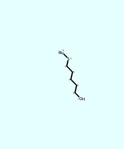 CCC(C)SCCCCCO